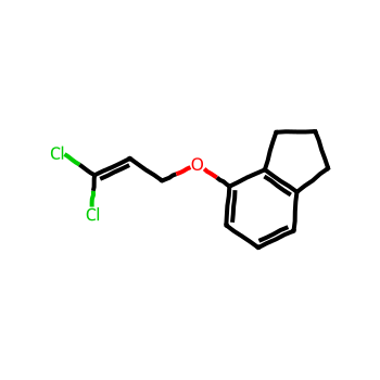 ClC(Cl)=CCOc1cccc2c1CCC2